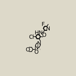 Cc1ncc(C(=O)Nc2cc(Cl)cc(CN3CCN(C(=O)C4CCOCC4)[C@@H](C)C3)c2C)cc1F